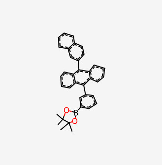 CC1(C)OB(c2cccc(-c3c4ccccc4c(-c4ccc5ccccc5c4)c4ccccc34)c2)OC1(C)C